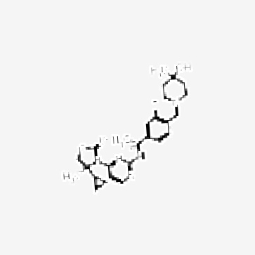 C[C@H](Nc1nccc(N2C(=O)OC[C@]2(C)C2CC2)n1)c1ccc(CN2CCC(O)(C(F)(F)F)CC2)c(F)c1